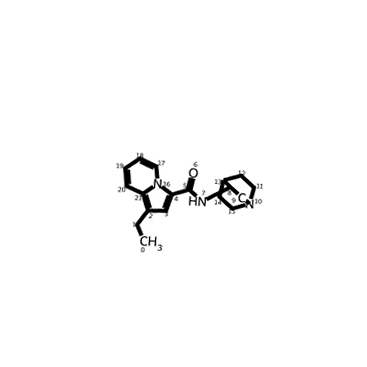 CCc1cc(C(=O)NC2CN3CCC2CC3)n2ccccc12